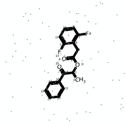 CC(OC(=O)Cc1c(F)cccc1F)C(=O)c1ccccc1